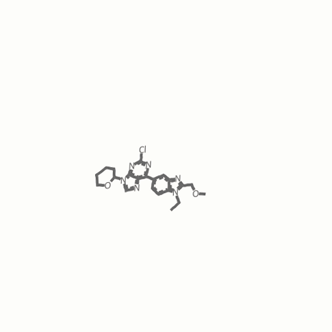 CCn1c(COC)nc2cc(-c3nc(Cl)nc4c3ncn4C3CCCCO3)ccc21